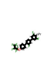 CCCc1c(F)cc(-c2ccc(-c3ccc(OC(F)(F)C(F)=C(F)F)cc3)c(F)c2)cc1F